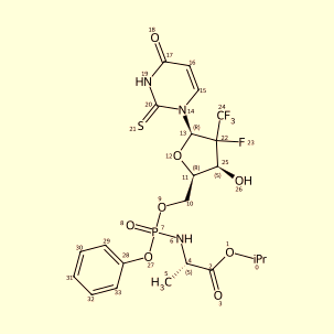 CC(C)OC(=O)[C@H](C)NP(=O)(OC[C@H]1O[C@@H](n2ccc(=O)[nH]c2=S)C(F)(C(F)(F)F)[C@H]1O)Oc1ccccc1